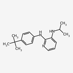 CC(C)Nc1cccnc1Nc1ccc(C(C)(C)C)cc1